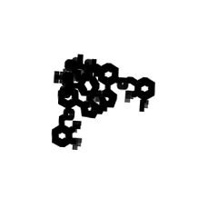 CC(=O)NC1(NC(C)=O)C=CC(n2c(C)ccc2-c2cc(Cl)ccc2OCc2cccc(F)c2F)(n2c(C)ccc2-c2cc(Cl)ccc2OCc2cccc(F)c2F)C=C1C(=O)O